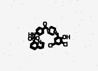 O=C(c1ccc(NS(=O)(=O)c2cccc3cccnc23)cc1)N1CCN(Cc2cc(Cl)cc(Cl)c2O)CC1